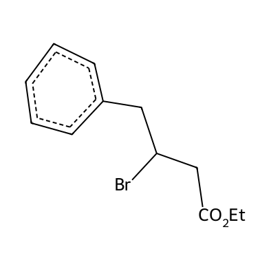 CCOC(=O)CC(Br)Cc1ccccc1